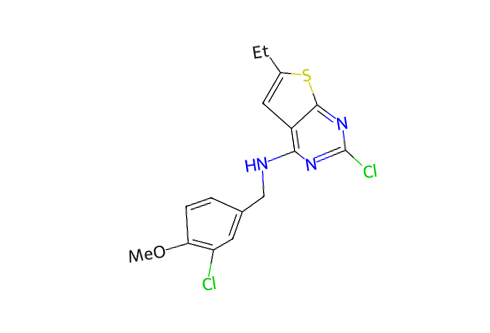 CCc1cc2c(NCc3ccc(OC)c(Cl)c3)nc(Cl)nc2s1